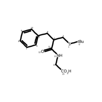 CC(C)(C)SCC(Cc1ccccc1)C(=O)NCC(=O)O